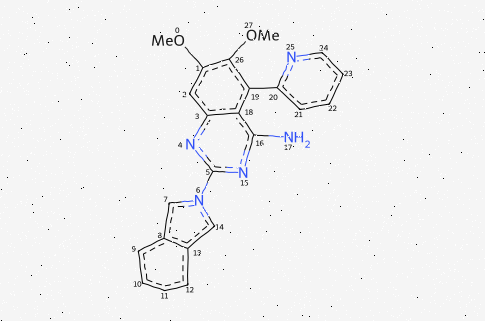 COc1cc2nc(-n3cc4ccccc4c3)nc(N)c2c(-c2ccccn2)c1OC